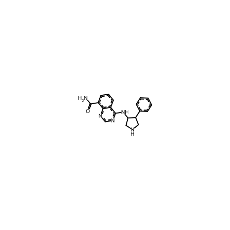 NC(=O)c1cccc2c(NC3CNCC3c3ccccc3)ncnc12